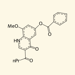 CCCC(=O)c1c[nH]c2c(OC)cc(OC(=O)c3ccccc3)cc2c1=O